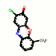 O=C(O)c1cccc2nc3cc(Cl)c(=O)cc-3oc12